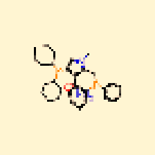 Cn1cc(P(C2CCCCC2)C2CCCCC2)c(C(N)=O)c1CP(c1ccccc1)c1ccccc1